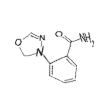 NC(=O)c1ccccc1N1COC=N1